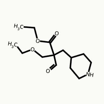 CCOCC(C=O)(CC1CCNCC1)C(=O)OCC